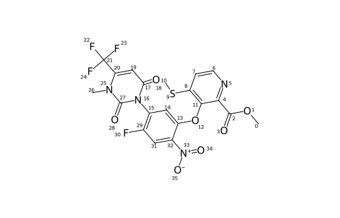 COC(=O)c1nccc(SC)c1Oc1cc(-n2c(=O)cc(C(F)(F)F)n(C)c2=O)c(F)cc1[N+](=O)[O-]